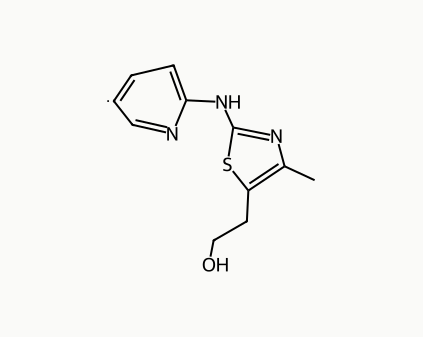 Cc1nc(Nc2cc[c]cn2)sc1CCO